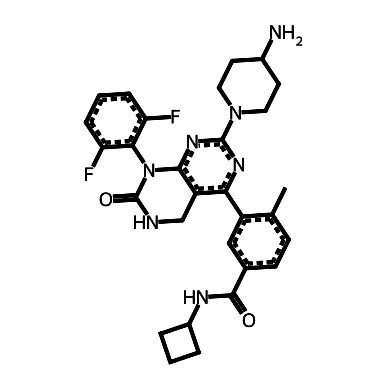 Cc1ccc(C(=O)NC2CCC2)cc1-c1nc(N2CCC(N)CC2)nc2c1CNC(=O)N2c1c(F)cccc1F